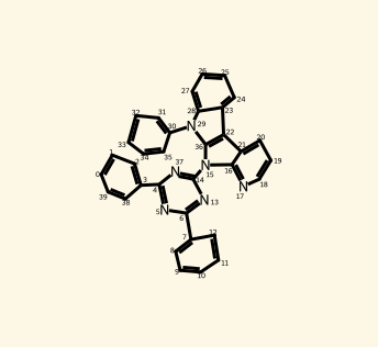 c1ccc(-c2nc(-c3ccccc3)nc(-n3c4ncccc4c4c5ccccc5n(-c5ccccc5)c43)n2)cc1